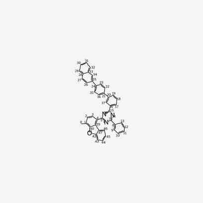 Cc1ccc(-c2nc(-c3ccccc3)nc(-c3cccc(-c4ccc(-c5ccc6ccccc6c5)cc4)c3)n2)c2c1oc1ccccc12